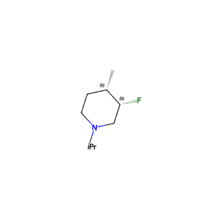 CC(C)N1CC[C@H](C)[C@H](F)C1